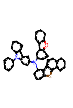 c1ccc(-n2c3ccccc3c3cc(N(c4ccc5oc6ccccc6c5c4)c4cccc5sc6c7ccccc7ccc6c45)ccc32)cc1